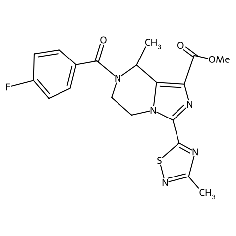 COC(=O)c1nc(-c2nc(C)ns2)n2c1C(C)N(C(=O)c1ccc(F)cc1)CC2